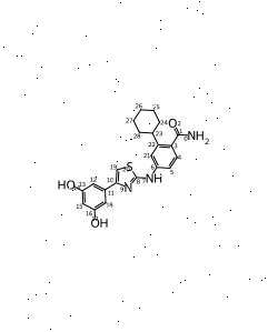 NC(=O)c1ccc(Nc2nc(-c3cc(O)cc(O)c3)cs2)cc1C1CCCCC1